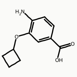 Nc1ccc(C(=O)O)cc1OC1CCC1